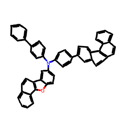 c1ccc(-c2ccc(N(c3ccc(-c4ccc5c(ccc6ccc7ccccc7c65)c4)cc3)c3ccc4oc5c6ccccc6ccc5c4c3)cc2)cc1